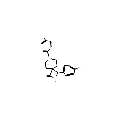 CCC[C@H](NC(=O)N1CCC2(CC1)C(=O)N(C(C)C)C2c1ccc(Br)cc1)C(=O)OC